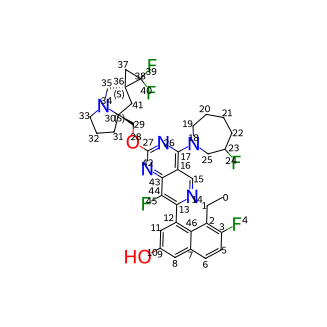 CCc1c(F)ccc2cc(O)cc(-c3ncc4c(N5CCCCC(F)C5)nc(OC[C@@]56CCCN5C[C@@]5(CC5(F)F)C6)nc4c3F)c12